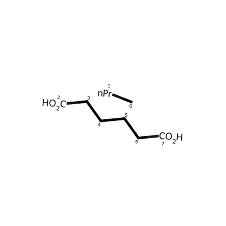 CCCC.O=C(O)CCCCC(=O)O